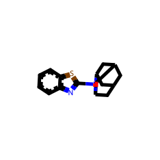 c1ccc2sc(N3C4CC5CC(C4)CC3C5)nc2c1